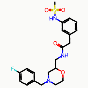 CS(=O)(=O)Nc1cccc(CC(=O)NCC2CN(Cc3ccc(F)cc3)CCO2)c1